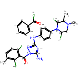 Cc1ccc(F)c(C(=O)n2nc(Nc3ccc(N4C(F)CN(C)C(C)C4F)cc3)nc2N)c1F.O=C(Cl)c1ccccc1